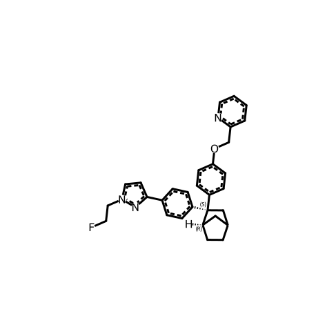 FCCn1ccc(-c2ccc([C@]3(c4ccc(OCc5ccccn5)cc4)CC4CC[C@@H]3C4)cc2)n1